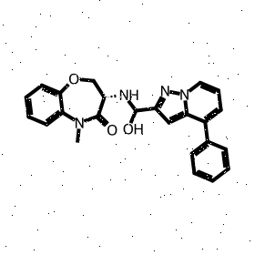 CN1C(=O)[C@@H](NC(O)c2cc3c(-c4ccccc4)cccn3n2)COc2ccccc21